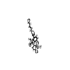 Cn1c(=O)n(C2CCC(=O)NC2=O)c2cccc(COCCCCC=O)c21